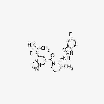 C=C(C)/C(F)=C\C=C(/Cn1nccn1)C(=O)N1CCC[C@@H](C)[C@H]1CNc1nc2ccc(F)cc2o1